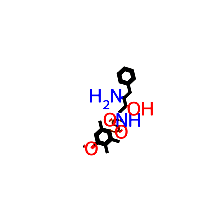 COc1cc(C)c(S(=O)(=O)NCC(O)C(N)Cc2ccccc2)c(C)c1C